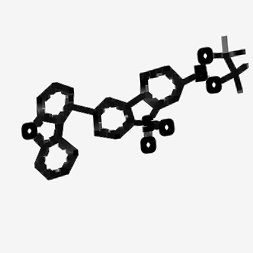 CC1(C)OB(c2ccc3c(c2)S(=O)(=O)c2ccc(-c4cccc5oc6ccccc6c45)cc2-3)OC1(C)C